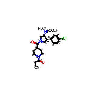 CN(C(=O)O)[C@@H]1CN(C(=O)C2CCN(C(=O)CC#N)CC2)C[C@H]1c1ccc(Cl)cc1